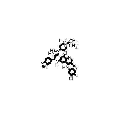 CC(C)(C)N1CCC(N2C=C([C@@H](Nc3cc(Cl)c4ncc(C#N)c(Nc5ccc(F)c(Cl)c5)c4c3)c3ccc4scnc4c3)NN2)CC1